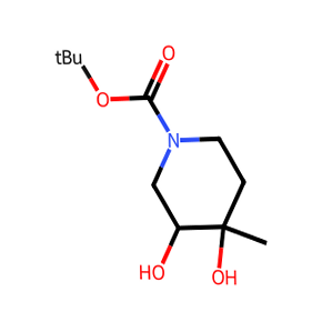 CC(C)(C)OC(=O)N1CCC(C)(O)C(O)C1